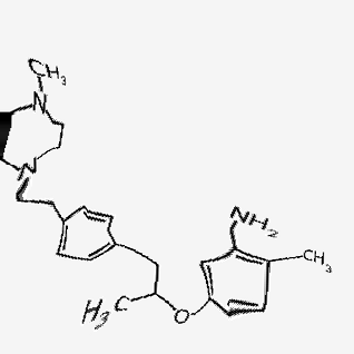 Cc1ccc(OC(C)Cc2ccc(CN3CCN(C)CC3)cc2)cc1N